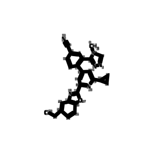 Cn1cnnc1-c1cc(C#N)ccc1-c1cc(-c2nc3cc(CCl)ccc3o2)nc(C2CC2)c1